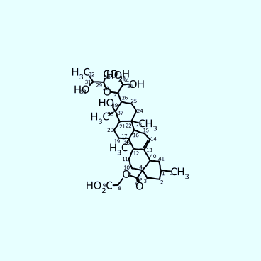 CC1CCC2(C(=O)OCC(=O)O)CCC3C(=CCC4C3(C)CCC3C4(C)CCC(C(OC(C(=O)O)C(C)O)C(O)O)[C@@]3(C)O)C2C1